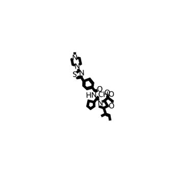 CC=C(C)C1CN(C(C=O)(NC(=O)c2ccc(-c3csc(N4CCN(C)CC4)n3)cc2)C2CCCC2)C2C(=O)COC12